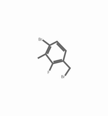 Cc1c(Br)ccc(CBr)c1F